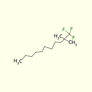 CCCCCCCCCC(C)(C)C(F)(F)F